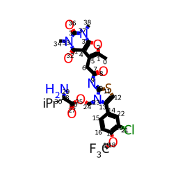 Cc1oc2c(c1CC(=O)/N=c1\scc(-c3ccc(OC(F)(F)F)c(Cl)c3)n1COC(=O)[C@@H](N)C(C)C)c(=O)n(C)c(=O)n2C